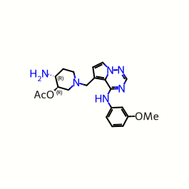 COc1cccc(Nc2ncnn3ccc(CN4CC[C@@H](N)[C@H](OC(C)=O)C4)c23)c1